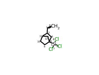 C=CC1CC2([Si](Cl)(Cl)Cl)CCC1C2